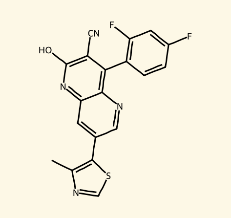 Cc1ncsc1-c1cnc2c(-c3ccc(F)cc3F)c(C#N)c(O)nc2c1